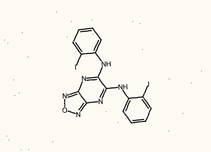 Ic1ccccc1Nc1nc2nonc2nc1Nc1ccccc1I